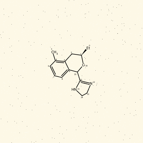 CC[C@@H]1Cc2c(C)cccc2C(C2=NCCN2)O1